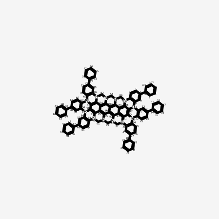 c1ccc(-c2ccc3c(c2)B2c4cc(-c5ccccc5)ccc4N4c5ccc(-c6ccccc6)cc5B5CN6CB7CN8c9ccc(-c%10ccccc%10)cc9B9c%10cc(-c%11ccccc%11)ccc%10N%10c%11ccc(-c%12ccccc%12)cc%11B%11CN%12CB%13CN3c3c2c4c5c2c6c4c7c5c8c9c%10c%11c5c%12c4c%13c32)cc1